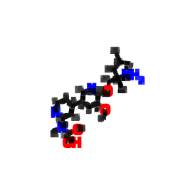 COc1cc(-c2ccnc(N(C)C(=O)O)c2)cnc1OC[C@@](C)(N)CC(C)C